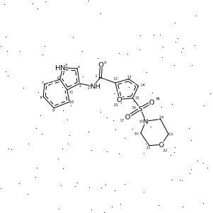 O=C(Nc1c[nH]c2ccccc12)c1ccc(S(=O)(=O)N2CCOCC2)o1